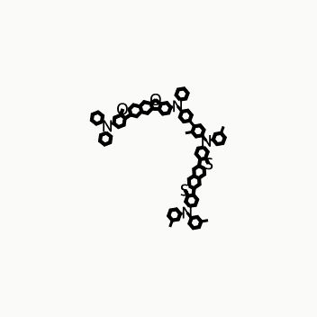 Cc1cccc(N(c2cccc(C)c2)c2ccc3c(c2)sc2cc4cc5c(cc4cc23)sc2cc(N(c3cccc(C)c3)c3ccc(-c4ccc(N(c6ccccc6)c6ccc7c(c6)oc6cc8cc9oc%10cc(N(c%11ccccc%11)c%11ccccc%11)ccc%10c9cc8cc67)cc4)c(C)c3)ccc25)c1